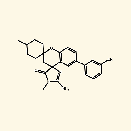 CC1CCC2(CC1)CC1(N=C(N)N(C)C1=O)c1cc(-c3cccc(C#N)c3)ccc1O2